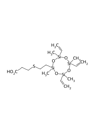 C=C[Si]1(C)O[Si](C)(C=C)O[Si](C)(CCSCCC(=O)O)O[Si](C)(C=C)O1